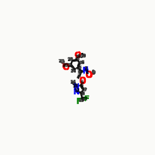 CON=C(COc1cc(C(F)F)nn1C)c1cc(OC)cc(OC)c1